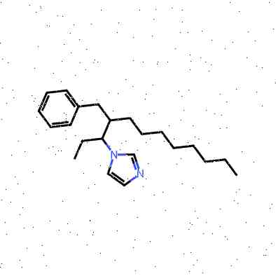 CCCCCCCCC(Cc1ccccc1)C(CC)n1ccnc1